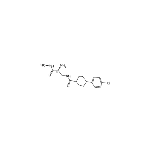 N[C@@H](CNC(=O)C1CCC(c2ccc(Cl)cc2)CC1)C(=O)NO